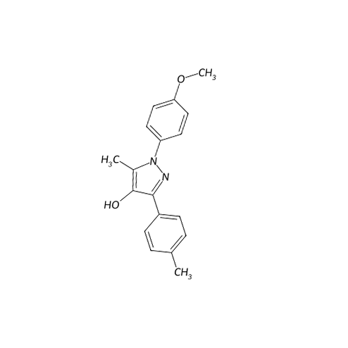 COc1ccc(-n2nc(-c3ccc(C)cc3)c(O)c2C)cc1